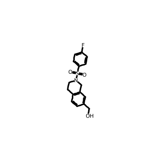 O=S(=O)(c1ccc(F)cc1)N1CCc2ccc(CO)cc2C1